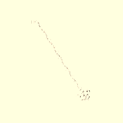 CCC(=O)N(C(O)COCCOCCOCCOCCOCCOCCOCCOCCOCCOCCOCCO)N1C(=O)C=CC1=O